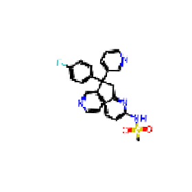 CS(=O)(=O)Nc1cccc(CC(c2ccc(F)cc2)(c2cccnc2)c2cccnc2)n1